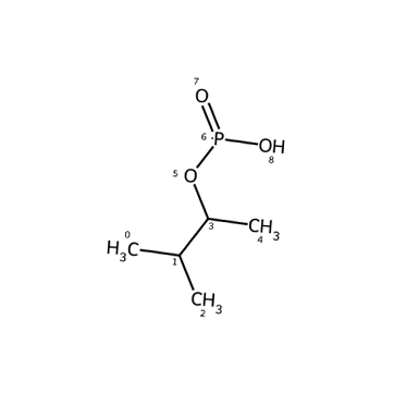 CC(C)C(C)O[P](=O)O